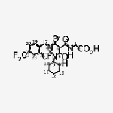 O=C(O)CNC(=O)C1=C(O)N(C2CCCCC2)CN(Cc2ccc(C(F)(F)F)cc2C(F)(F)F)C1=O